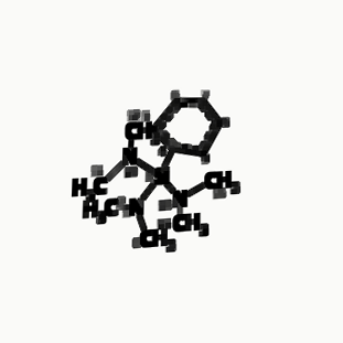 CN(C)[Si](c1ccccc1)(N(C)C)N(C)C